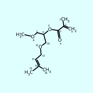 C=C(C)C(=O)OC(COC)COCC=C(C)C